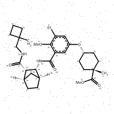 CCc1cc(O[C@H]2CC[C@@](C)(C(=O)OC)CC2)cc(C(=O)N[C@@H]2[C@H]3CC[C@H](C3)[C@@H]2C(=O)NCC2(C)CCC2)c1OC